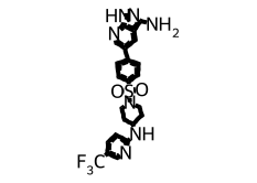 Nc1n[nH]c2ncc(-c3ccc(S(=O)(=O)N4CCC(Nc5ccc(C(F)(F)F)cn5)CC4)cc3)cc12